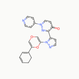 O=c1ccn(-c2ccncc2)nc1-c1ccnn1C1=COC=C(C2=CC=CCC2)O1